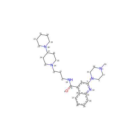 CN1CCN(c2cc(C(=O)NCCCN3CCC(N4CCCCC4)CC3)c3ccccc3n2)CC1